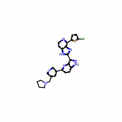 Fc1ccc(-c2nccc3[nH]c(-c4n[nH]c5ccc(-c6cncc(CN7CCCC7)c6)nc45)nc23)s1